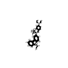 CCN(CC)c1ccc2c(c1)O[B-](F)(F)[N+](c1ccc3c(c1)c1ccccc1n3CC)=C2